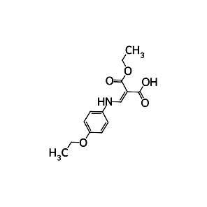 CCOC(=O)/C(=C\Nc1ccc(OCC)cc1)C(=O)O